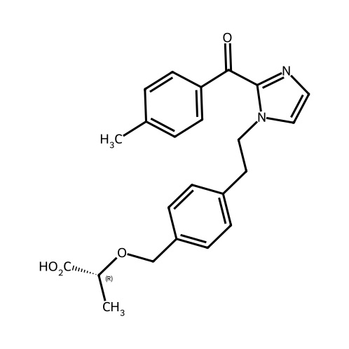 Cc1ccc(C(=O)c2nccn2CCc2ccc(CO[C@H](C)C(=O)O)cc2)cc1